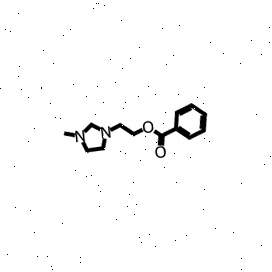 CN1CCN(CCOC(=O)c2ccccc2)C1